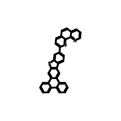 c1cnc2c(c1)ccc1ccc(-c3ccc4c(c3)sc3cc5c6ccccc6c6ccccc6c5cc34)nc12